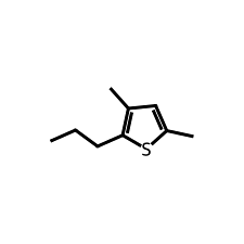 CCCc1sc(C)cc1C